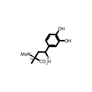 CN[C@@](C)(CC(F)c1ccc(O)c(O)c1)C(=O)O